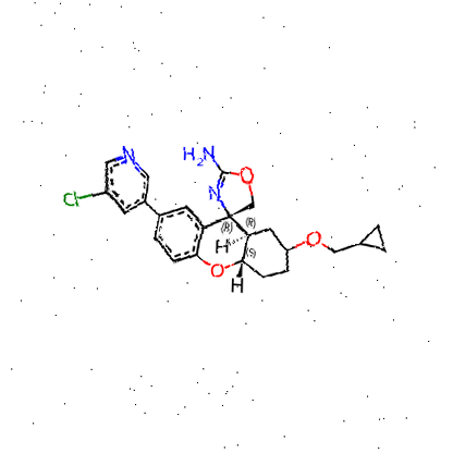 NC1=N[C@@]2(CO1)c1cc(-c3cncc(Cl)c3)ccc1O[C@H]1CCC(OCC3CC3)C[C@@H]12